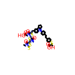 CCN1C(=O)/C(=c2\s/c(=c3/s/c(=C\c4ccc5c(c4)C4CCCC4N5c4ccc(C=Cc5ccc(SC(C)C(=O)O)cc5)cc4)c(=O)n3CC(=O)O)c(=O)n2C)SC1=S